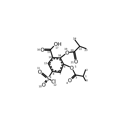 CC(C)C(=O)Oc1cc(S(=O)(=O)Cl)cc(C(=O)O)c1OC(=O)C(C)C